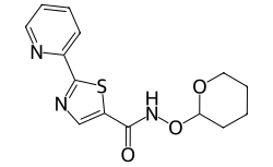 O=C(NOC1CCCCO1)c1cnc(-c2ccccn2)s1